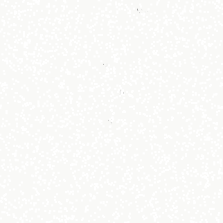 COc1c(Cl)ccc(-c2nc(C(=O)O)c3c(C)cn(Cc4ccc(C)cc4)c3n2)c1F